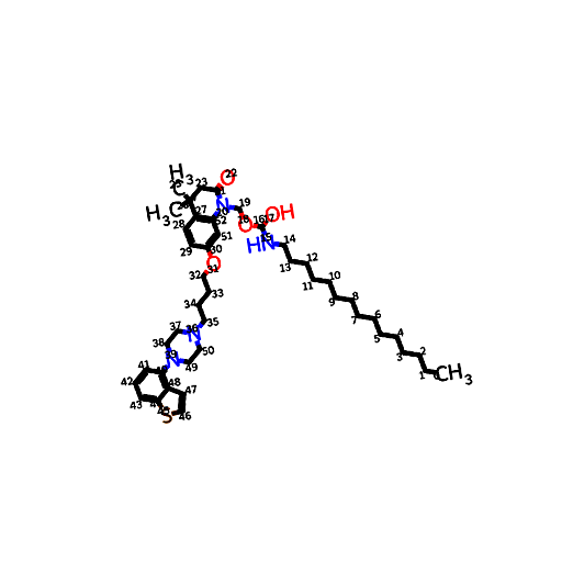 CCCCCCCCCCCCCCCNC(O)OCN1C(=O)CC(C)(C)c2ccc(OCCCCN3CCN(c4cccc5sccc45)CC3)cc21